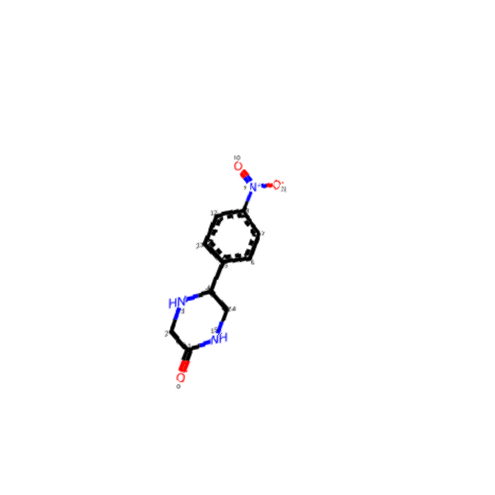 O=C1CNC(c2ccc([N+](=O)[O-])cc2)CN1